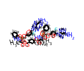 COc1cc(C(=O)OC(=O)[C@H](C)N[P@](=O)(CO[C@@H]2C=C(F)[C@H](n3cnc4c(N)ncnc43)O2)Oc2ccccc2)ccc1OC(=O)[C@H](C)N[P@](=O)(CO[C@@H]1C=C(F)[C@H](n2cnc3c(N)ncnc32)O1)Oc1ccccc1